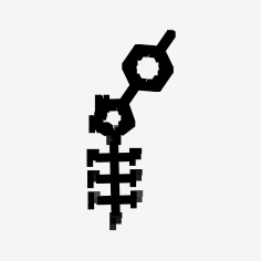 Cc1ccc(-c2cn(C(F)(F)C(F)(F)C(F)(F)F)nn2)cc1